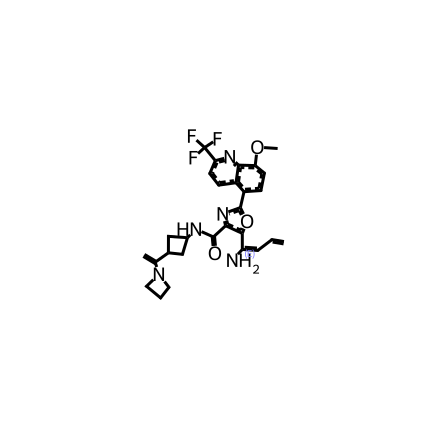 C=C/C=C(/N)c1oc(-c2ccc(OC)c3nc(C(F)(F)F)ccc23)nc1C(=O)NC1CC(C(=C)N2CCC2)C1